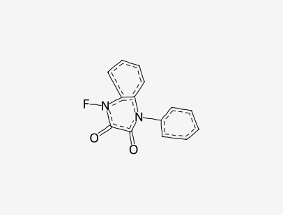 O=c1c(=O)n(-c2ccccc2)c2ccccc2n1F